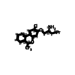 CC(C)C[C@H](N)COc1cc2c(cc1Cl)-c1ncccc1C(C(F)(F)F)O2